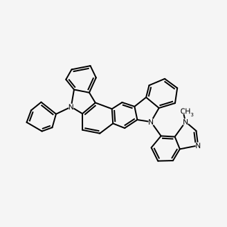 Cn1cnc2cccc(-n3c4ccccc4c4cc5c(ccc6c5c5ccccc5n6-c5ccccc5)cc43)c21